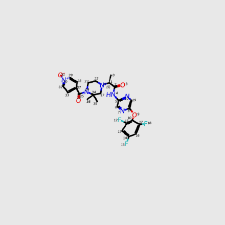 C[C@@H](C(=O)Nc1cnc(Oc2c(F)cc(F)cc2F)cn1)N1CCN(C(=O)c2cc[n+]([O-])cc2)C(C)(C)C1